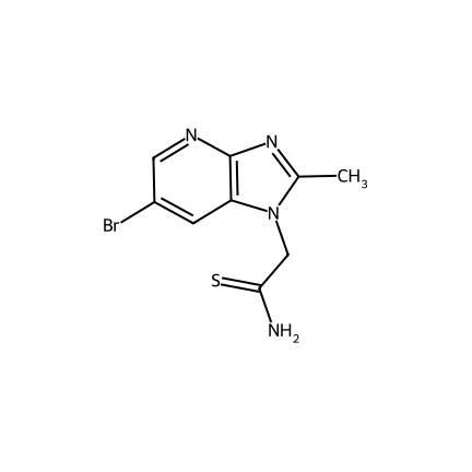 Cc1nc2ncc(Br)cc2n1CC(N)=S